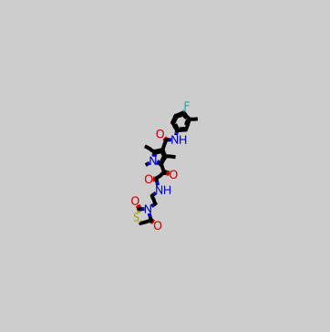 Cc1cc(NC(=O)c2c(C)c(C(=O)C(=O)NCCN3C(=O)CSC3=O)n(C)c2C)ccc1F